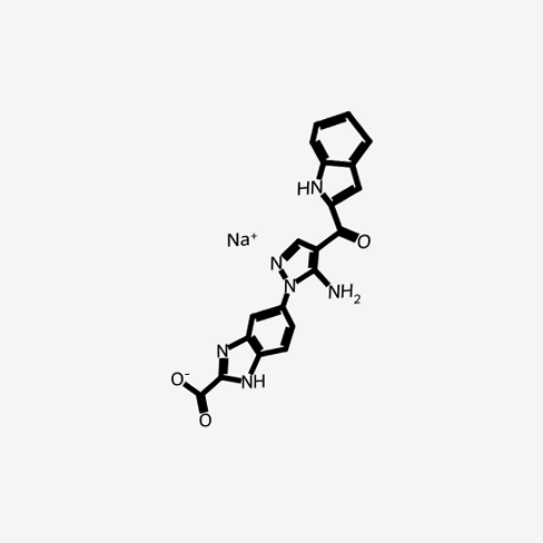 Nc1c(C(=O)c2cc3ccccc3[nH]2)cnn1-c1ccc2[nH]c(C(=O)[O-])nc2c1.[Na+]